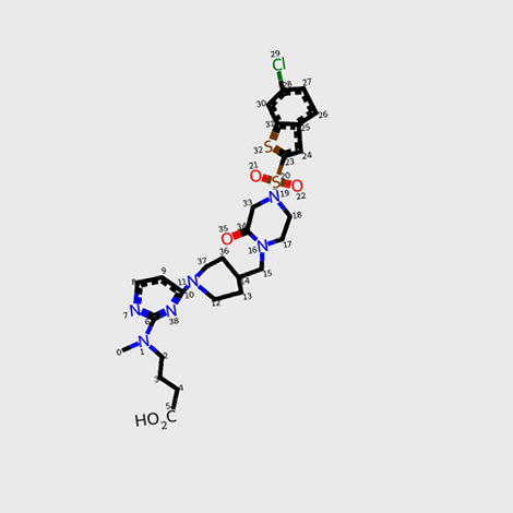 CN(CCCC(=O)O)c1nccc(N2CCC(CN3CCN(S(=O)(=O)c4cc5ccc(Cl)cc5s4)CC3=O)CC2)n1